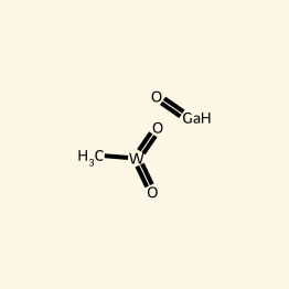 [CH3][W](=[O])=[O].[O]=[GaH]